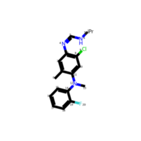 Cc1cc(/N=C\NC(C)C)c(Cl)cc1N(C)c1ccccc1F